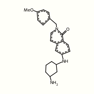 COc1ccc(Cn2ccc3cc(NC4CCCC(N)C4)ccc3c2=O)cc1